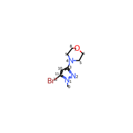 Cn1nc(N2CCOCC2)cc1Br